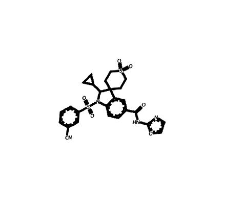 N#Cc1cccc(S(=O)(=O)N2c3ccc(C(=O)Nc4ncco4)cc3C3(CCS(=O)(=O)CC3)C2C2CC2)c1